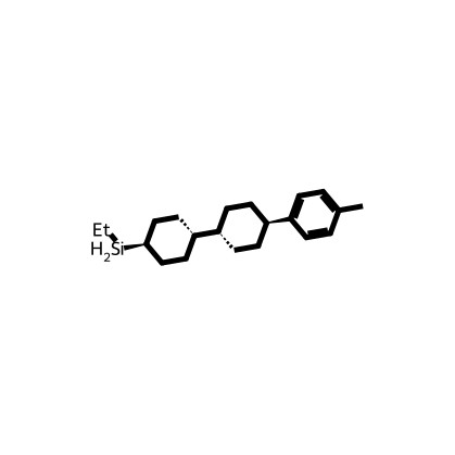 CC[SiH2][C@H]1CC[C@H]([C@H]2CC[C@H](c3ccc(C)cc3)CC2)CC1